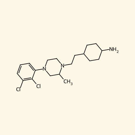 CC1CN(c2cccc(Cl)c2Cl)CCN1CCC1CCC(N)CC1